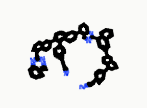 N#Cc1ccc(-c2cccc3cc(-c4cc(-c5ncc6c(-c7ccc8c(-c9ccc(C#N)cc9)c(-c9ccc%10c(-c%11ncc%12ccccc%12n%11)cccc%10c9)ccc8c7)cccc6n5)c5ccccc5c4)ccc23)cc1